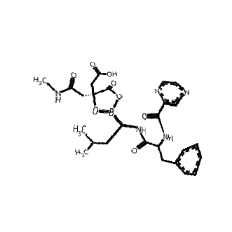 CNC(=O)C[C@@]1(CC(=O)O)OB(C(CC(C)C)NC(=O)C(Cc2ccccc2)NC(=O)c2cnccn2)OC1=O